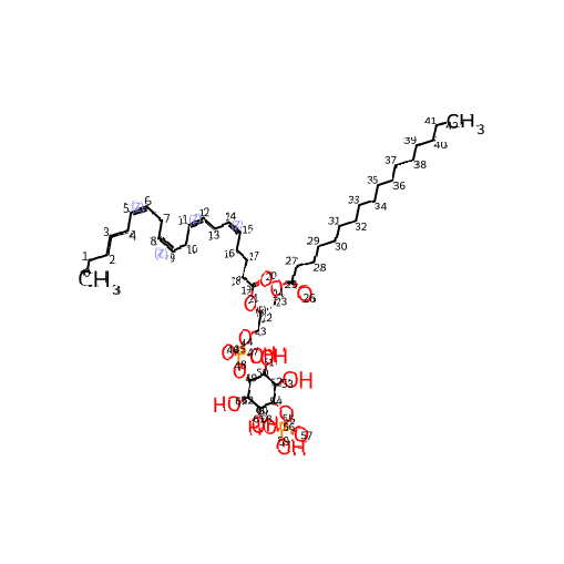 CCCCC/C=C\C/C=C\C/C=C\C/C=C\CCCC(=O)O[C@H](COC(=O)CCCCCCCCCCCCCCCC)COP(=O)(O)OC1C(O)C(O)C(OP(=O)(O)O)[C@@H](O)C1O